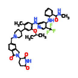 CNC(=O)c1ccccc1Nc1cc(Nc2cc(C)c(C3CCN(Cc4ccc5c(c4)CN(C4CCC(=O)NC4=O)C5=O)CC3)cc2OC(C)C)ncc1C(F)(F)F